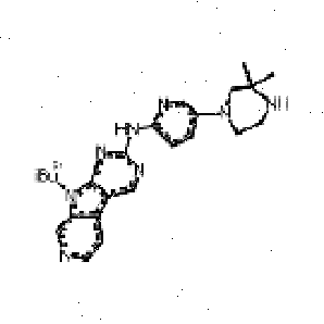 CC[C@H](C)n1c2cnccc2c2cnc(Nc3ccc(N4CCNC(C)(C)C4)cn3)nc21